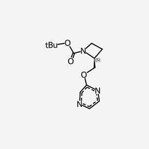 CC(C)(C)OC(=O)N1CC[C@H]1COc1cnccn1